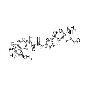 CNC(=O)C(CCC=O)N1Cc2cc(CNC(=O)Nc3ccc(C(F)(F)F)c(N(C)C)c3)sc2C1=O